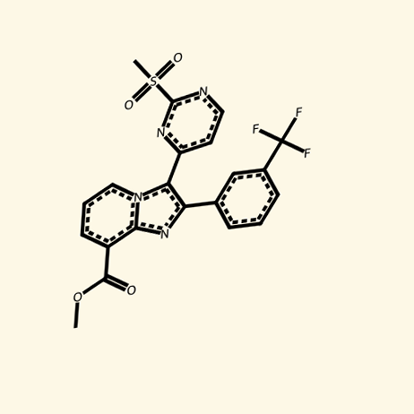 COC(=O)c1cccn2c(-c3ccnc(S(C)(=O)=O)n3)c(-c3cccc(C(F)(F)F)c3)nc12